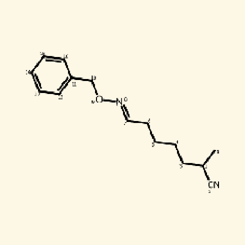 CC(C#N)CCCCC=NOCc1ccccc1